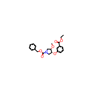 CCOC(=O)c1cccc(O[C@@H]2CN(C(=O)OCc3ccccc3)C[C@H]2OC)c1